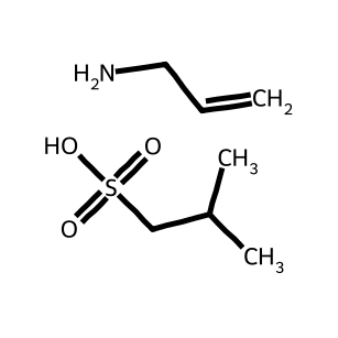 C=CCN.CC(C)CS(=O)(=O)O